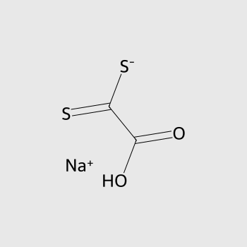 O=C(O)C(=S)[S-].[Na+]